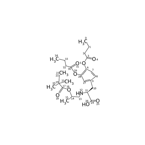 CCCC(=O)Oc1ccc(C[C@H](NCC(C)OC(=O)C(C)(C)CC)C(=O)O)cc1OC(=O)CCC